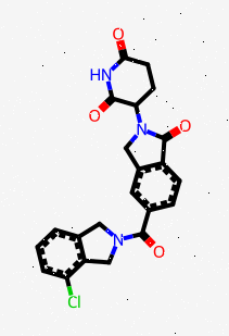 O=C1CCC(N2Cc3cc(C(=O)N4Cc5cccc(Cl)c5C4)ccc3C2=O)C(=O)N1